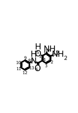 Nc1ccc(C(=O)Nc2ccccc2)c(O)c1N